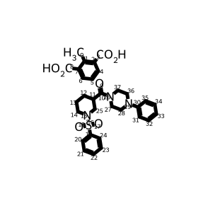 Cc1c(C(=O)O)cccc1C(=O)O.O=C(C1CCCN(S(=O)(=O)c2ccccc2)C1)N1CCN(c2ccccc2)CC1